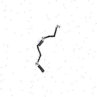 C=NC/C=N\CC(C)C